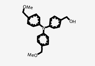 COCc1ccc(N(c2ccc(CO)cc2)c2ccc(COC)cc2)cc1